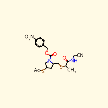 CC(=O)SC1CC(CSC(C)C(=O)NCC#N)N(C(=O)OCc2ccc([N+](=O)[O-])cc2)C1